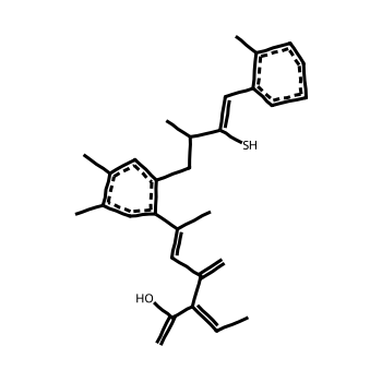 C=C(O)/C(=C/C)C(=C)/C=C(\C)c1cc(C)c(C)cc1CC(C)/C(S)=C/c1ccccc1C